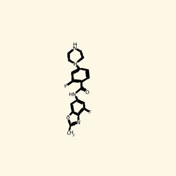 Cc1nc2c(F)cc(NC(=O)c3ccc(N4CCNCC4)cc3F)cc2o1